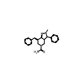 CN1N=C2/C(=C/c3ccccc3)CN(C(N)=O)CC2C1c1ccccc1